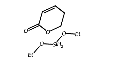 CCO[SiH2]OCC.O=C1C=CCCO1